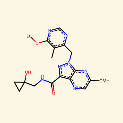 CCOc1ncnc(Cn2nc(C(=O)NCC3(O)CC3)c3ncc(OC)nc32)c1C